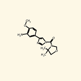 COc1ccc(-c2cn(C(=O)N3COCC3(C)C)cn2)cc1N